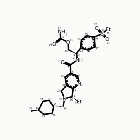 CC[C@H]1c2ncc(C(=O)N[C@@H](COC(N)=O)c3ccc(S(=O)(=O)CC)cc3)cc2CN1C[C@H]1CC[C@H](C)CC1